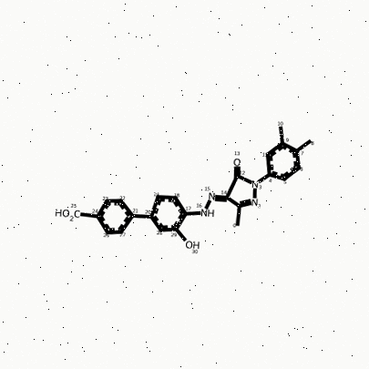 CC1=NN(c2ccc(C)c(C)c2)C(=O)/C1=N/Nc1ccc(-c2ccc(C(=O)O)cc2)cc1O